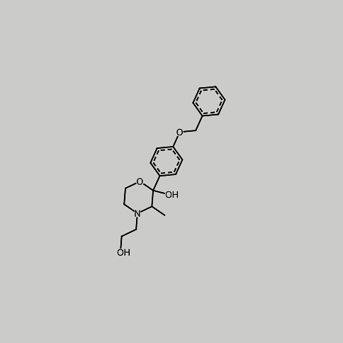 CC1N(CCO)CCOC1(O)c1ccc(OCc2ccccc2)cc1